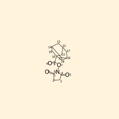 O=C1CCC(=O)N1OC(=O)C12CC3CC(CC(C3)C1)C2